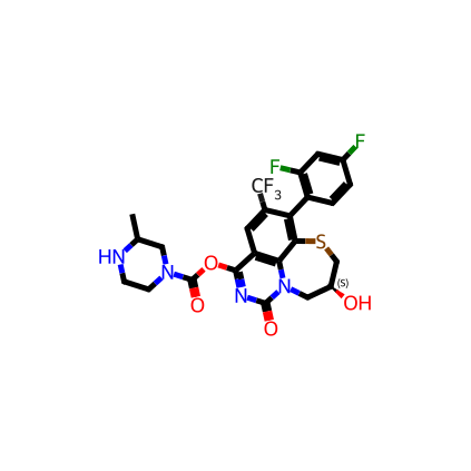 CC1CN(C(=O)Oc2nc(=O)n3c4c(c(-c5ccc(F)cc5F)c(C(F)(F)F)cc24)SC[C@@H](O)C3)CCN1